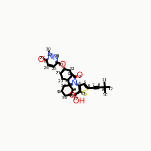 CC(=O)N(c1cc(C#CC(C)(C)C)sc1C(=O)O)C1(C2CCC(Oc3ccc(=O)n(C)n3)CC2)CCCCC1